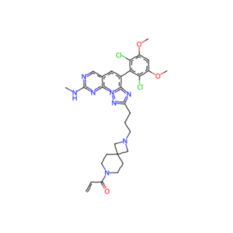 C=CC(=O)N1CCC2(CC1)CN(CCCc1nc3c(-c4c(Cl)c(OC)cc(OC)c4Cl)cc4cnc(NC)nc4n3n1)C2